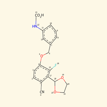 N#Cc1ccc(OCc2cccc(NC(=O)O)c2)c(F)c1C1OCCO1